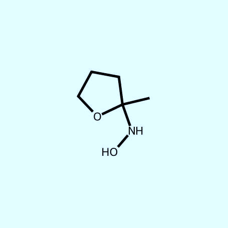 CC1(NO)CCCO1